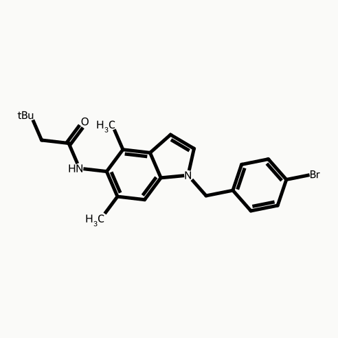 Cc1cc2c(ccn2Cc2ccc(Br)cc2)c(C)c1NC(=O)CC(C)(C)C